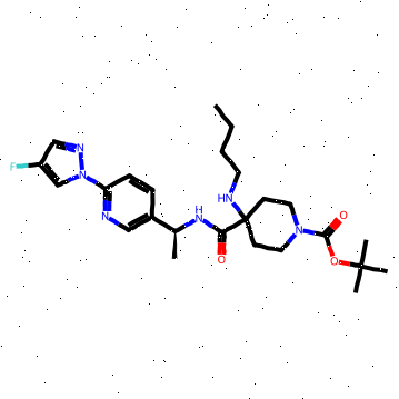 CCCCNC1(C(=O)N[C@@H](C)c2ccc(-n3cc(F)cn3)nc2)CCN(C(=O)OC(C)(C)C)CC1